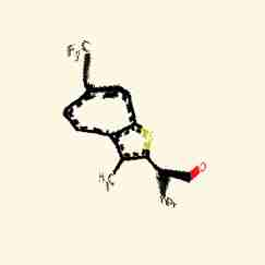 CCCC(=O)c1sc2cc(C(F)(F)F)ccc2c1C